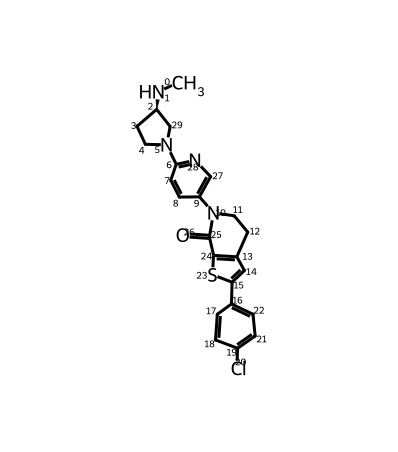 CN[C@@H]1CCN(c2ccc(N3CCc4cc(-c5ccc(Cl)cc5)sc4C3=O)cn2)C1